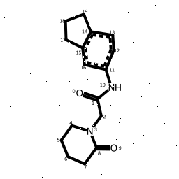 O=C(CN1CC[CH]CC1=O)Nc1ccc2c(c1)CCC2